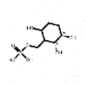 O=P(O)(O)OCC1C(O)CC[C@@H](O)[C@@H]1O